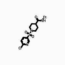 CCNC(=O)C1CCN(S(=O)(=O)c2ccc(Cl)nc2)CC1